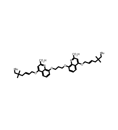 CC(C)(C)CC(C)(C)CC=CCOc1cc(C(=O)O)nc2c(OCCCOc3cccc4c(OCC=CCC(C)(C)CC(C)(C)C)cc(C(=O)O)nc34)cccc12